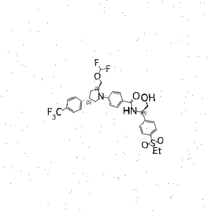 CCS(=O)(=O)c1ccc([C@H](CO)NC(=O)c2ccc(N3C[C@H](c4ccc(C(F)(F)F)cc4)C[C@H]3COC(F)F)cc2)cc1